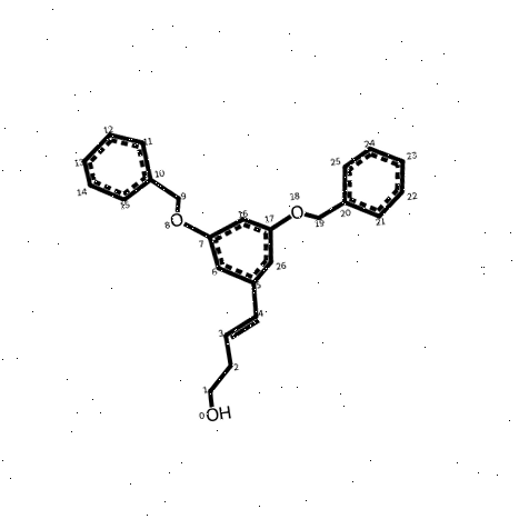 OCCC=Cc1cc(OCc2ccccc2)cc(OCc2ccccc2)c1